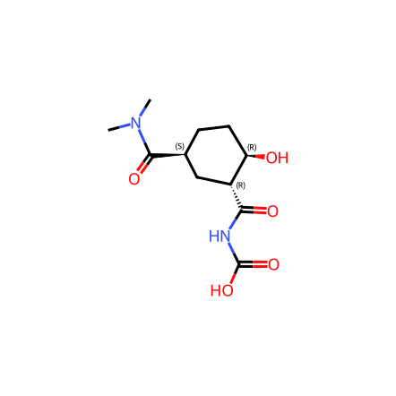 CN(C)C(=O)[C@H]1CC[C@@H](O)[C@H](C(=O)NC(=O)O)C1